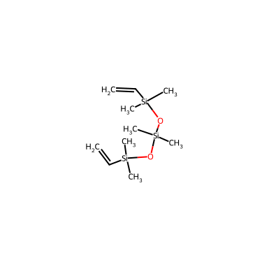 C=C[Si](C)(C)O[Si](C)(C)O[Si](C)(C)C=C